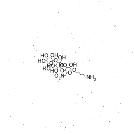 NCCCCCO[C@@H]1OC(C[N+](=O)[O-])[C@@H](O[C@@H]2OC(CO)[C@H](O[C@H]3OC(CO)[C@H](O)[C@H](O)C3O)[C@H](O)C2O)[C@H](O)C1O